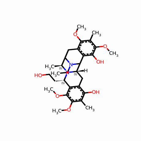 CCN1C2Cc3c(OC)c(C)c(OC)c(O)c3C1[C@@H]1Cc3c(O)c(C)c(OC)c(OC)c3[C@H](CCO)N1[C@H]2C